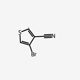 N#Cc1[c]scc1Br